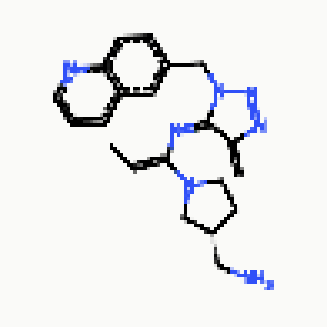 C=C1N=NN(Cc2ccc3ncccc3c2)/C1=N/C(=C\C)N1CC[C@H](CN)C1